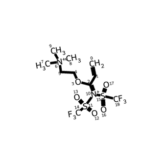 C=CC(OCC[N+](C)(C)C)=[N+](S(=O)(=O)C(F)(F)F)S(=O)(=O)C(F)(F)F